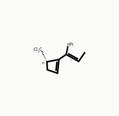 C/C=C(\CCC)C1=CC[C@@H]1C(Cl)(Cl)Cl